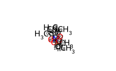 CC=CC1(C=CC)C(=O)N(S(=O)(=O)c2cccc(C)c2C)C(=O)C1(C=CC)C=CC